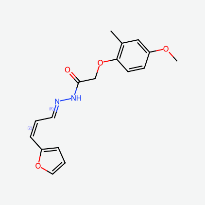 COc1ccc(OCC(=O)N/N=C/C=C\c2ccco2)c(C)c1